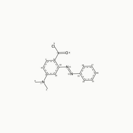 CN(C)c1ccc(C(=O)Cl)c(N=Nc2ccccc2)c1